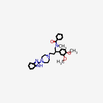 COc1ccc(C(CCN2CCCN(c3nc4ccccc4[nH]3)CC2)CN(C)C(=O)c2ccccc2)cc1OC